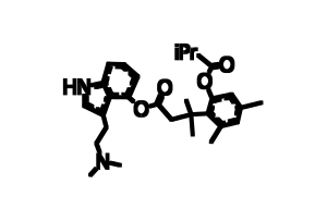 Cc1cc(C)c(C(C)(C)CC(=O)Oc2cccc3[nH]cc(CCN(C)C)c23)c(OC(=O)C(C)C)c1